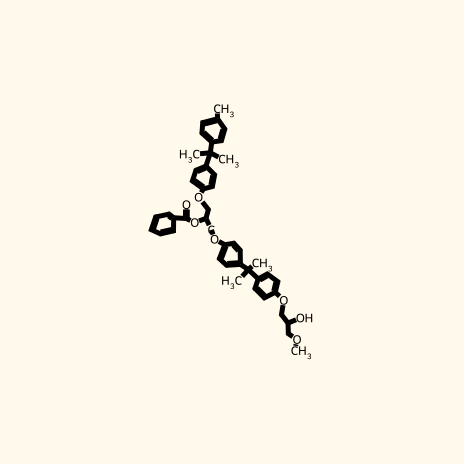 COCC(O)COc1ccc(C(C)(C)c2ccc(OCC(COc3ccc(C(C)(C)c4ccc(C)cc4)cc3)OC(=O)c3ccccc3)cc2)cc1